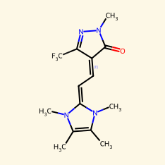 CC1=C(C)N(C)C(=C/C=C2/C(=O)N(C)N=C2C(F)(F)F)N1C